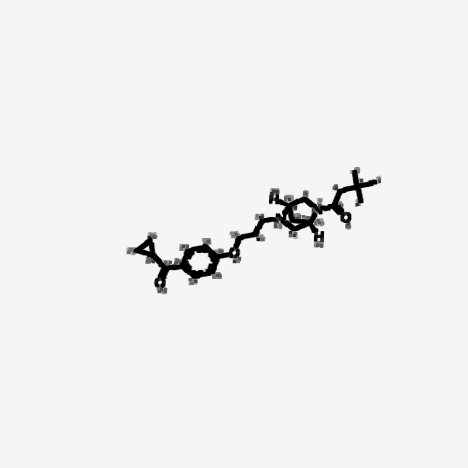 CC(C)(C)CC(=O)N1C[C@@H]2C[C@H]1CN2CCCOc1ccc(C(=O)C2CC2)cc1